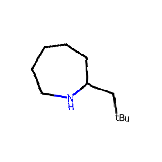 [CH2]C(C)(C)CC1CCCCCN1